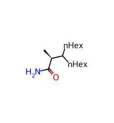 CCCCCCC(CCCCCC)[C@H](C)C(N)=O